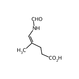 CC(=CNC=O)CCC(=O)O